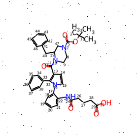 CC(C)(C)OC(=O)N1CCN(C(=O)c2ccn(-c3ccccc3NC(=O)CCCC(=O)O)c2-c2ccccc2)C(Cc2ccccc2)C1